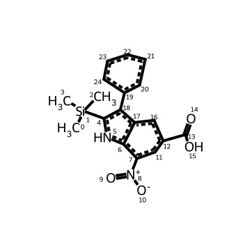 C[Si](C)(C)c1[nH]c2c([N+](=O)[O-])cc(C(=O)O)cc2c1-c1ccccc1